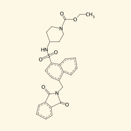 CCOC(=O)N1CCC(NS(=O)(=O)c2ccc(CN3C(=O)c4ccccc4C3=O)c3ccccc23)CC1